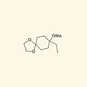 COC1(CI)CCC2(CC1)OCCO2